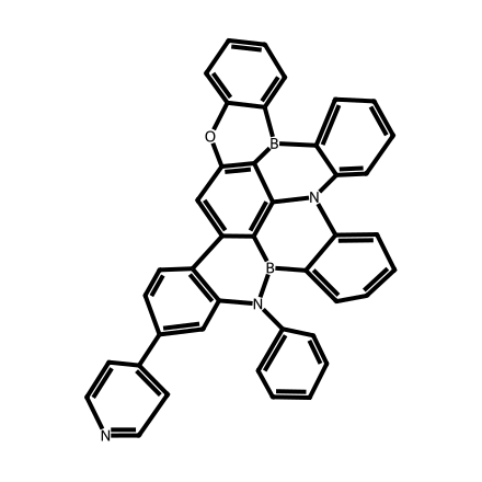 c1ccc(N2B3c4ccccc4N4c5ccccc5B5c6ccccc6Oc6cc(c3c4c65)-c3ccc(-c4ccncc4)cc32)cc1